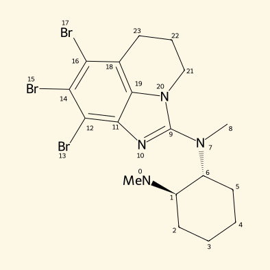 CN[C@@H]1CCCC[C@H]1N(C)c1nc2c(Br)c(Br)c(Br)c3c2n1CCC3